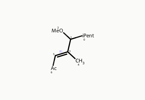 CCCC(C)C(OC)/C(C)=C/C(C)=O